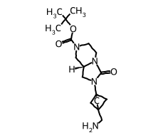 CC(C)(C)OC(=O)N1CCN2C(=O)N(C34CC(CN)(C3)C4)C[C@@H]2C1